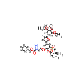 CCCOc1c(OCCNC(=O)OCc2ccccc2)cc([C@H]2CC[C@H](c3cc(OC)c(OC)c(OC)c3)O2)cc1S(=O)(=O)CCC